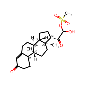 C[C@]12CC[C@H]3[C@@H](CCC4=CC(=O)CC[C@@]43C)[C@@H]1CC[C@@H]2C(=O)C(O)OS(C)(=O)=O